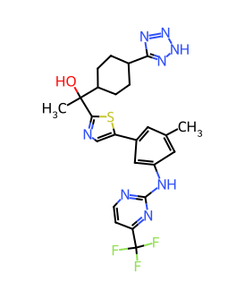 Cc1cc(Nc2nccc(C(F)(F)F)n2)cc(-c2cnc(C(C)(O)C3CCC(c4nn[nH]n4)CC3)s2)c1